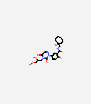 CC(C)OCC(O)Cn1c(=O)cnn(-c2ccc(Cl)c(C(=O)NCC3(O)CCCCCC3)c2)c1=O